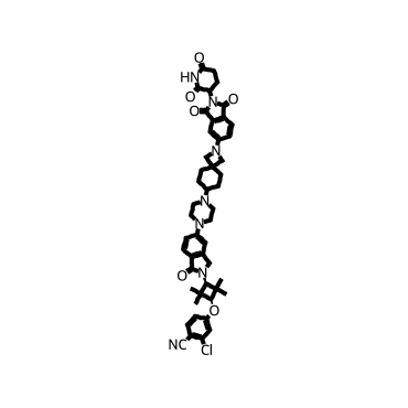 CC1(C)[C@H](Oc2ccc(C#N)c(Cl)c2)C(C)(C)[C@H]1N1Cc2cc(N3CCN(C4CCC5(CC4)CN(c4ccc6c(c4)C(=O)N(C4CCC(=O)NC4=O)C6=O)C5)CC3)ccc2C1=O